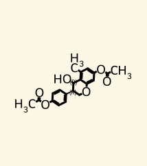 CC(=O)Oc1ccc([C@@H]2COc3cc(OC(C)=O)cc(C)c3[C@@H]2O)cc1